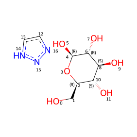 OC[C@H]1O[C@@H](O)[C@H](O)[C@@H](O)[C@@H]1O.c1c[nH]nn1